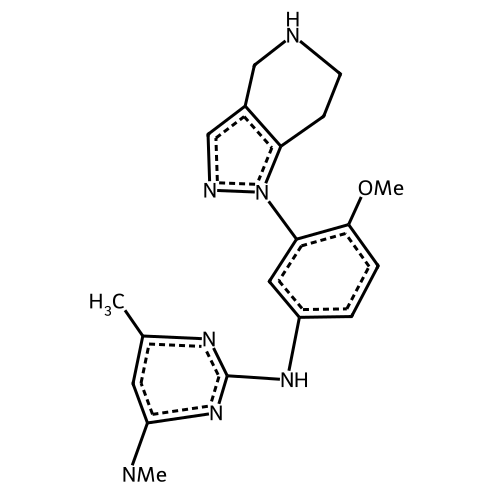 CNc1cc(C)nc(Nc2ccc(OC)c(-n3ncc4c3CCNC4)c2)n1